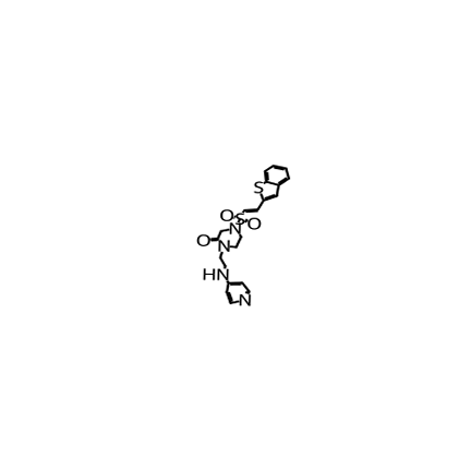 O=C1CN(S(=O)(=O)/C=C/c2cc3ccccc3s2)CCN1CCNc1ccncc1